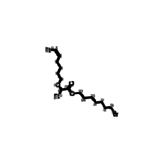 CC/C=C\CCCCOC(CC)C(=O)OCCCCCCCBr